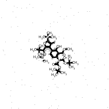 COC(=O)c1c(N(C(=O)OC(C)(C)C)C(=O)OC(C)(C)C)ccc(-c2c(C(O[SiH](C)C)C(C)(C)C)oc([Si](C)(C)C)c2F)c1O